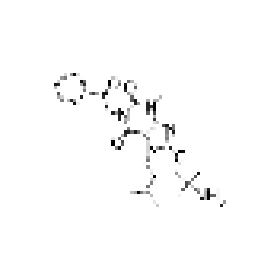 CC(C)=CCn1c(OCC(C)(C)N)nc2c1c(=O)n(CC(=O)c1ccccc1)c(=O)n2C